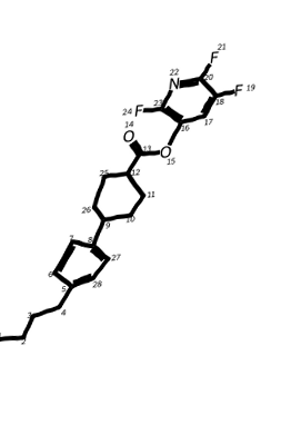 CCCCCc1ccc(C2CCC(C(=O)Oc3cc(F)c(F)nc3F)CC2)cc1